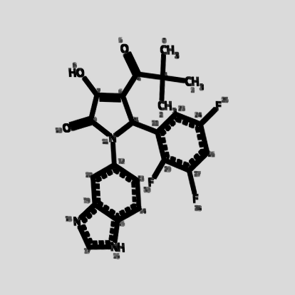 CC(C)(C)C(=O)C1=C(O)C(=O)N(c2ccc3[nH]cnc3c2)C1c1cc(F)cc(F)c1F